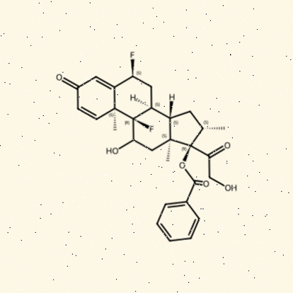 C[C@H]1C[C@H]2[C@@H]3C[C@H](F)C4=CC(=O)C=C[C@]4(C)[C@@]3(F)C(O)C[C@]2(C)[C@@]1(OC(=O)c1ccccc1)C(=O)CO